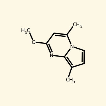 COc1cc(C)n2ccc(C)c2n1